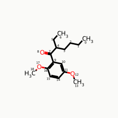 CCCCC(CC)C(=O)c1cc(OC)ccc1OC